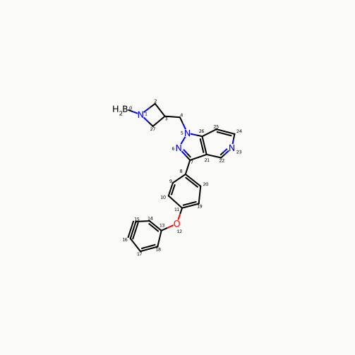 BN1CC(Cn2nc(-c3ccc(Oc4cc#ccc4)cc3)c3cnccc32)C1